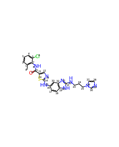 Cc1cccc(Cl)c1NC(=O)c1cnc(Nc2ccc3[nH]c(NCCCn4ccnc4)nc3c2)s1